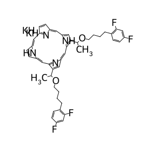 CC(OCCCCc1ccc(F)cc1F)C1=Cc2cc3[nH]c(cc4nc(cc5ccc(cc1n2)[nH]5)C=C4)cc3C(C)OCCCCc1ccc(F)cc1F.[KH].[KH]